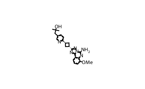 COc1cccc2c1nc(N)n1nc([C@H]3C[C@H](c4ccc(CC(C)(C)O)cn4)C3)nc21